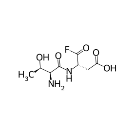 C[C@@H](O)[C@H](N)C(=O)N[C@@H](CC(=O)O)C(=O)F